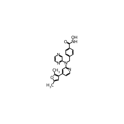 Cc1cc(-c2ccnc(N(Cc3ccc(C(=O)NO)cc3)c3cnccn3)c2)c(C)o1